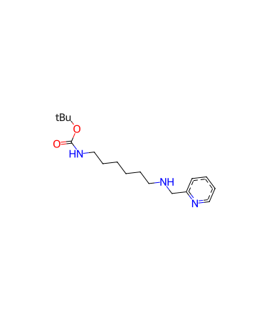 CC(C)(C)OC(=O)NCCCCCCNCc1ccccn1